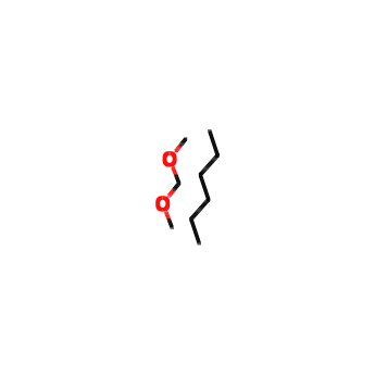 CCCCCC.COCOC